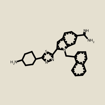 N=C(N)c1ccc2cc(-c3nnc(C4CCC(N)CC4)s3)n(Cc3cccc4ccccc34)c2c1